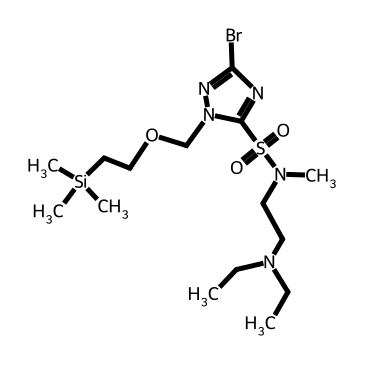 CCN(CC)CCN(C)S(=O)(=O)c1nc(Br)nn1COCC[Si](C)(C)C